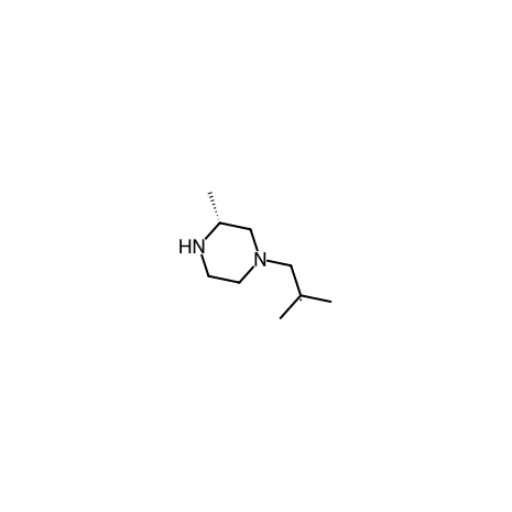 C[C](C)CN1CCN[C@H](C)C1